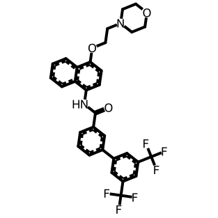 O=C(Nc1ccc(OCCN2CCOCC2)c2ccccc12)c1cccc(-c2cc(C(F)(F)F)cc(C(F)(F)F)c2)c1